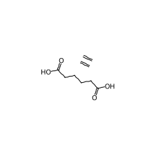 C=C.C=C.O=C(O)CCCCC(=O)O